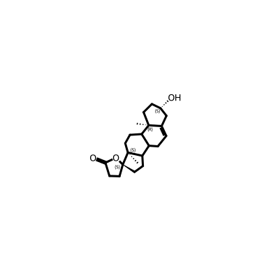 C[C@]12CC[C@H](O)CC1=CCC1C2CC[C@@]2(C)C1CC[C@]21CCC(=O)O1